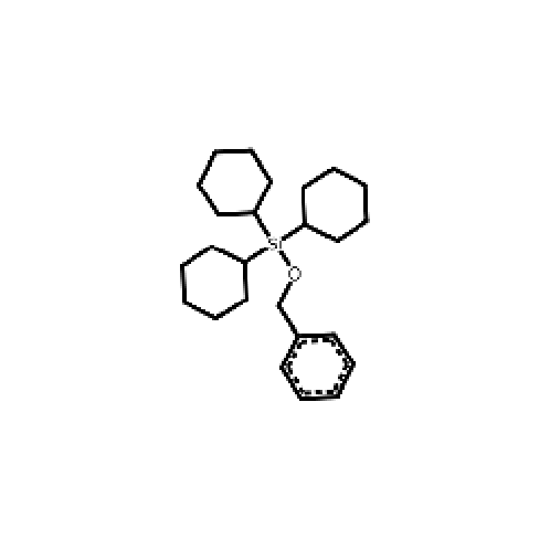 c1ccc(CO[Si](C2CCCCC2)(C2CCCCC2)C2CCCCC2)cc1